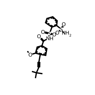 COc1cc(C(=O)NS(=O)(=O)c2ccccc2S(N)(=O)=O)ccc1C#CC(C)(C)C